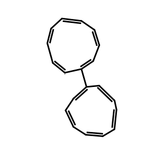 [c]1ccccccccc1-c1ccccccccc1